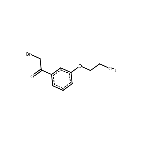 CCCOc1cccc(C(=O)CBr)c1